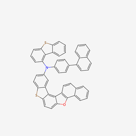 c1ccc2c(-c3ccc(N(c4ccc5sc6ccc7oc8c9ccccc9ccc8c7c6c5c4)c4cccc5sc6ccccc6c45)cc3)cccc2c1